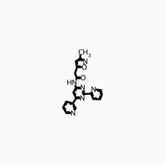 Cc1cc(CC(=O)Nc2cc(-c3cccnc3)nc(-c3ccccn3)n2)on1